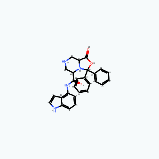 O=C(Nc1cccc2[nH]ccc12)C1CNCC2C(=O)OC(c3ccccc3)(c3ccccc3)N12